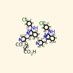 Clc1ccc(Nc2nnc(Cc3ccncc3)c3ccccc23)cc1.Clc1ccc(Nc2nnc(Cc3ccncc3)c3ccccc23)cc1.O=C(O)CCC(=O)O